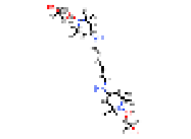 CC(C)(O)CON1C(C)(C)CC(NCCCCCCNC2CC(C)(C)N(OCC(C)(C)O)C(C)(C)C2)CC1(C)C